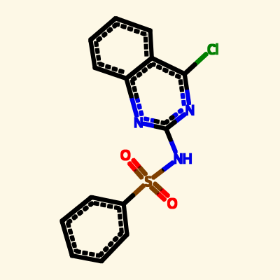 O=S(=O)(Nc1nc(Cl)c2ccccc2n1)c1ccccc1